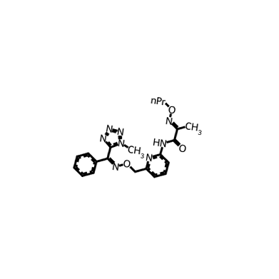 CCCON=C(C)C(=O)Nc1cccc(CO/N=C(/c2ccccc2)c2nnnn2C)n1